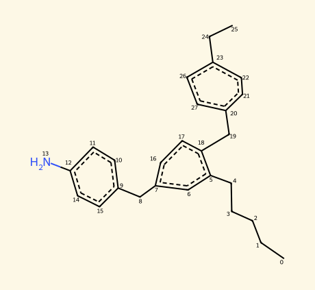 CCCCCc1cc(Cc2ccc(N)cc2)ccc1Cc1ccc(CC)cc1